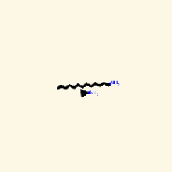 CCCCCCCCCCCCCN.NC1CC1